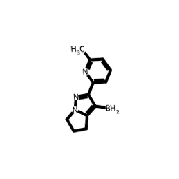 Bc1c(-c2cccc(C)n2)nn2c1CCC2